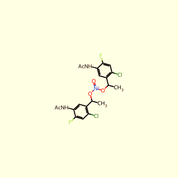 CC(=O)Nc1cc(C(C)O[N+](=O)OC(C)c2cc(NC(C)=O)c(F)cc2Cl)c(Cl)cc1F